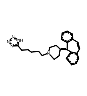 C1=Cc2ccccc2C(=C2CCN(CCCCCc3nnn[nH]3)CC2)c2ccccc21